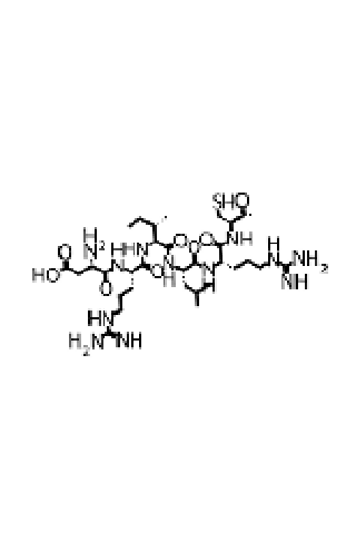 CC[C@H](C)[C@H](NC(=O)[C@H](CCCNC(=N)N)NC(=O)[C@@H](N)CC(=O)O)C(=O)N[C@@H](CC(C)C)C(=O)N[C@@H](CCCNC(=N)N)C(=O)N[C@H]([C]=O)CS